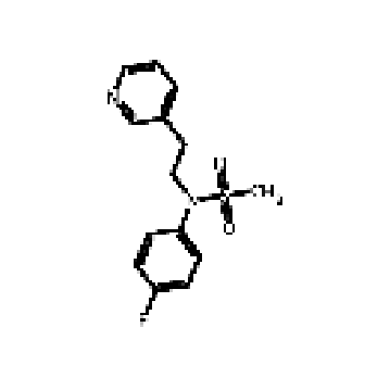 CS(=O)(=O)N(CCc1cccnc1)c1ccc(F)cc1